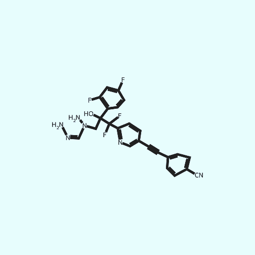 N#Cc1ccc(C#Cc2ccc(C(F)(F)C(O)(CN(N)/C=N\N)c3ccc(F)cc3F)nc2)cc1